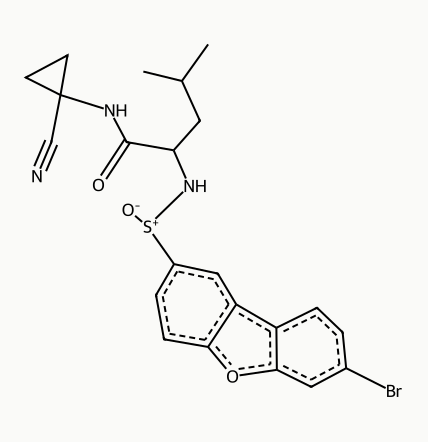 CC(C)CC(N[S+]([O-])c1ccc2oc3cc(Br)ccc3c2c1)C(=O)NC1(C#N)CC1